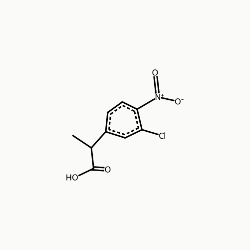 CC(C(=O)O)c1ccc([N+](=O)[O-])c(Cl)c1